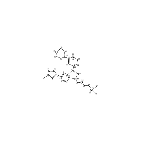 Cn1cc(-c2ccc3c(c2)c(C2=CCNC(N4CCOCC4)=C2)nn3COCC[Si](C)(C)C)nn1